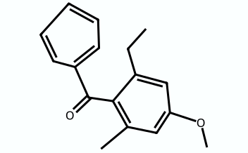 CCc1cc(OC)cc(C)c1C(=O)c1ccccc1